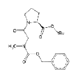 CN(CC(=O)N1CCC[C@H]1C(=O)OC(C)(C)C)C(=O)OCc1ccccc1